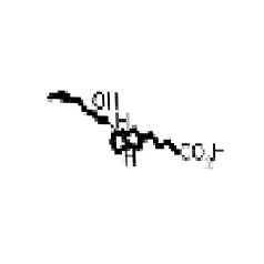 CC#CCC[C@H](O)/C=C/[C@H]1CC[C@@H]2C/C(=C\CCCC(=O)O)C[C@@H]21